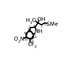 CSCCC(C)(O)C1Cc2cc([N+](=O)[O-])c(C(F)(F)F)cc2N1